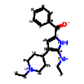 CCNc1[nH]c(C(=O)c2ccccc2)cc1C1CCN(CC)CC1